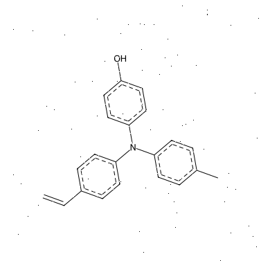 C=Cc1ccc(N(c2ccc(C)cc2)c2ccc(O)cc2)cc1